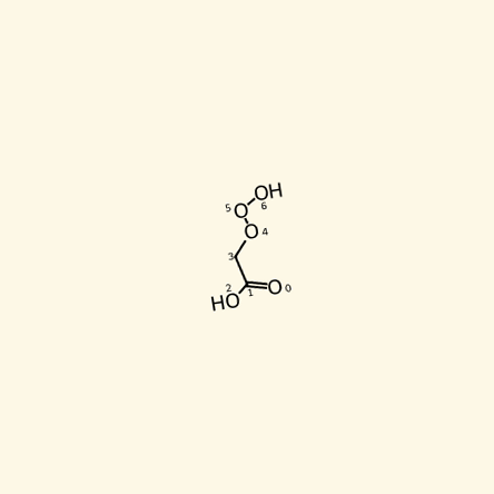 O=C(O)COOO